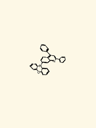 c1ccc(-c2cc(-c3ccccc3)c3ccc(N4c5ccccc5Oc5ccccc54)cc3n2)cc1